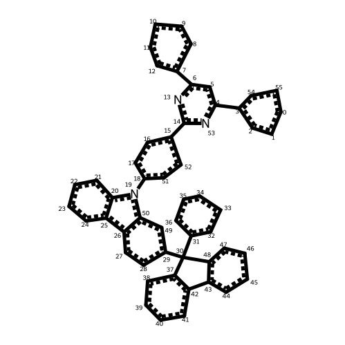 c1ccc(-c2cc(-c3ccccc3)nc(-c3ccc(-n4c5ccccc5c5ccc(C6(c7ccccc7)c7ccccc7-c7ccccc76)cc54)cc3)n2)cc1